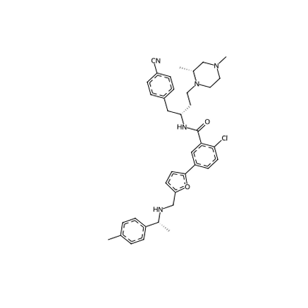 Cc1ccc([C@@H](C)NCc2ccc(-c3ccc(Cl)c(C(=O)N[C@@H](CCN4CCN(C)C[C@H]4C)Cc4ccc(C#N)cc4)c3)o2)cc1